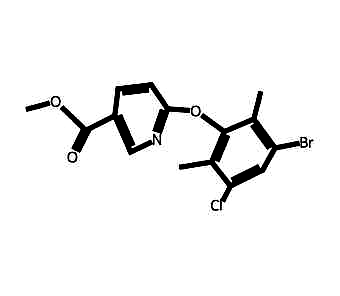 COC(=O)c1ccc(Oc2c(C)c(Cl)cc(Br)c2C)nc1